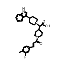 Cc1ccc(C=CC(=O)N2CCC(C(C(=O)O)N3CCC(c4c[nH]c5ccccc45)CC3)CC2)cc1F